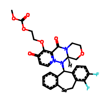 COC(=O)OCCOc1c2n(ccc1=O)N([C@@H]1c3ccccc3[Se]Cc3c1ccc(F)c3F)[C@@H]1COCCN1C2=O